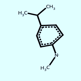 C[N]c1ccc(C(C)C)cc1